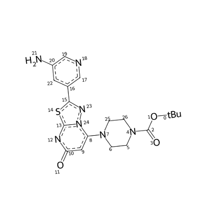 CC(C)(C)OC(=O)N1CCN(c2cc(=O)nc3sc(-c4cncc(N)c4)nn23)CC1